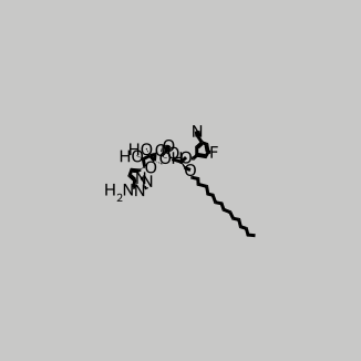 CCCCCCCCCCCCCCCCOC[C@@H](COP(=O)(O)O[C@H]1[C@]2(O)[C@@H](O)[C@@H](c3ccc4c(N)ncnn34)O[C@]12C)OCc1cc(F)cc(C#N)c1